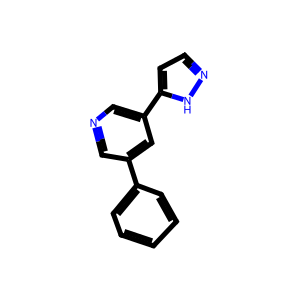 [c]1cc(-c2cncc(-c3ccccc3)c2)[nH]n1